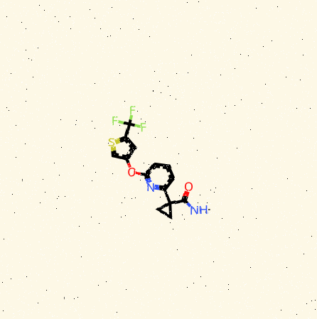 [NH]C(=O)C1(c2cccc(Oc3csc(C(F)(F)F)c3)n2)CC1